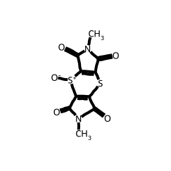 Cn1c(=O)c2sc3c(=O)n(C)c(=O)c3[s+]([O-])c2c1=O